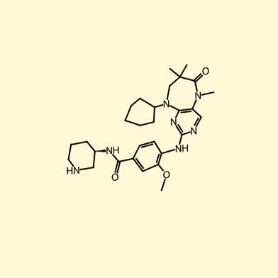 COc1cc(C(=O)N[C@@H]2CCCNC2)ccc1Nc1ncc2c(n1)N(C1CCCCC1)CC(C)(C)C(=O)N2C